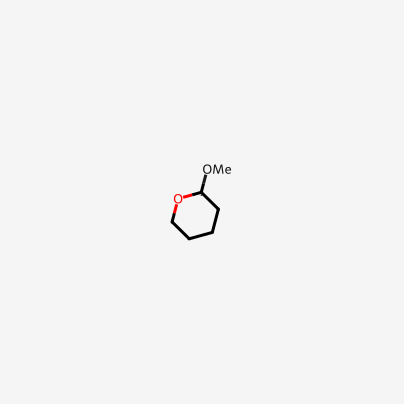 CO[C]1CCCCO1